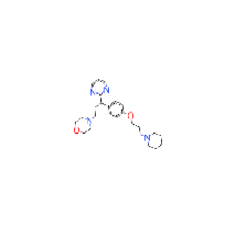 c1cnc(C(CCN2CCOCC2)c2ccc(OCCCN3CCCCC3)cc2)nc1